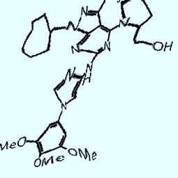 COc1cc(-n2cnc(Nc3nc(N4CCCC4CO)c4c(C)nn(C5CCCCC5)c4n3)c2)cc(OC)c1OC